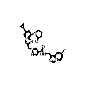 O=C(NCc1ncn2ccc(Cl)cc12)c1cnn(Cc2cn3cc(C4CC4)cc(N4CCCC4=O)c3n2)c1